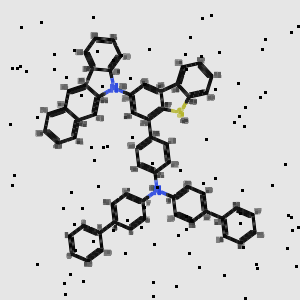 c1ccc(-c2ccc(N(c3ccc(-c4ccccc4)cc3)c3ccc(-c4cc(-n5c6ccccc6c6cc7ccccc7cc65)cc5c4sc4ccccc45)cc3)cc2)cc1